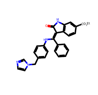 CCOC(=O)c1ccc2c(c1)NC(=O)/C2=C(\Nc1ccc(Cn2ccnc2)cc1)c1ccccc1